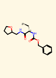 CC(C)C[C@H](NC(=O)OCc1ccccc1)C(=O)NCC1CCCO1